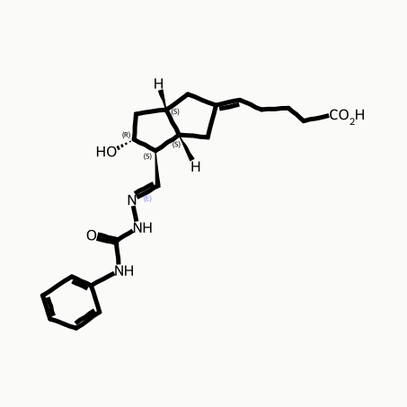 O=C(O)CCCC=C1C[C@H]2C[C@@H](O)[C@H](/C=N/NC(=O)Nc3ccccc3)[C@H]2C1